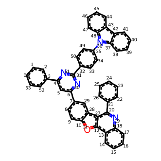 c1ccc(-c2cc(-c3ccc4oc5c6ccccc6nc(-c6ccccc6)c5c4c3)nc(-c3ccc(-n4c5ccccc5c5ccccc54)cc3)n2)cc1